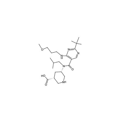 COCCCNc1nc(C(C)(C)C)ncc1C(=O)N(CC(C)C)[C@@H]1CNC[C@H](C(=O)O)C1